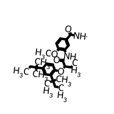 CCC(Oc1ccc(C(C)(C)CC)cc1C(C)(C)CC)C(=O)Nc1cc(C([NH])=O)ccc1OC